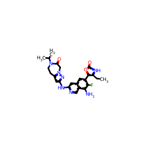 CCc1[nH]c(=O)oc1-c1cc2cc(Nc3cc4n(n3)CC(=O)N(C(C)C)CC4)ncc2c(N)c1F